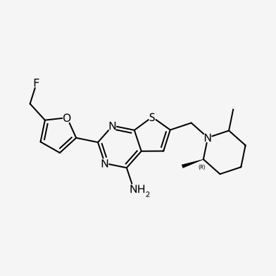 CC1CCC[C@@H](C)N1Cc1cc2c(N)nc(-c3ccc(CF)o3)nc2s1